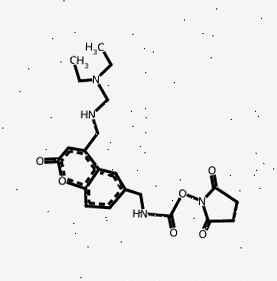 CCN(CC)CNCc1cc(=O)oc2ccc(CNC(=O)ON3C(=O)CCC3=O)cc12